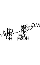 COc1ccc2cc(C(=O)NCCCCCC(=O)NNC(=O)[C@@H](N)CC(C)C)c(=O)oc2c1.O=C(O)C(F)(F)F